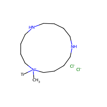 C[N+]1([Ti])CCCCNCCCCNCCCC1.[Cl-].[Cl-]